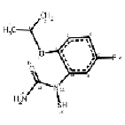 CC(C)Oc1ccc(F)cc1N(S)C(N)=O